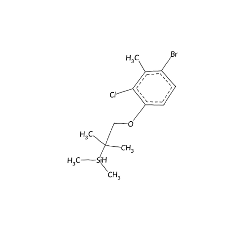 Cc1c(Br)ccc(OCC(C)(C)[SiH](C)C)c1Cl